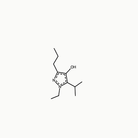 CCCc1nn(CC)c(C(C)C)c1O